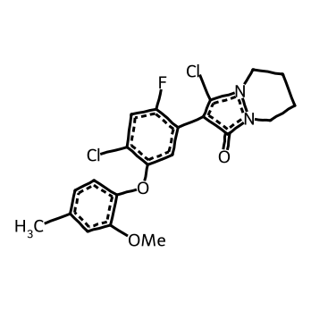 COc1cc(C)ccc1Oc1cc(-c2c(Cl)n3n(c2=O)CCCC3)c(F)cc1Cl